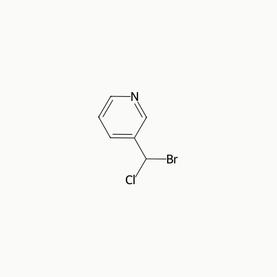 ClC(Br)c1cccnc1